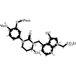 CCCCCOc1cc(N2CC[C@H](C)N(Cc3ccnc4c3c(Cl)cn4CC(=O)OCC)C2=O)ccc1OC